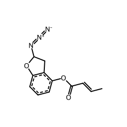 CC=CC(=O)Oc1cccc2c1CC(N=[N+]=[N-])O2